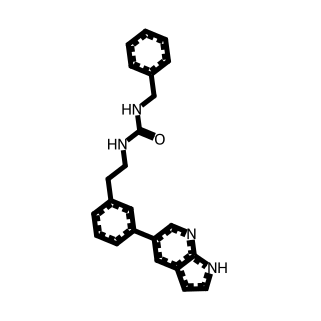 O=C(NCCc1cccc(-c2cnc3[nH]ccc3c2)c1)NCc1ccccc1